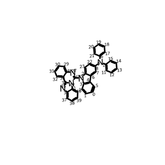 c1ccc2c(c#1)c1cc(N(c3ccccc3)c3ccccc3)ccc1n2-c1nc2ccccc2c2nc3ccccc3n12